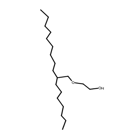 CCCCCCCCCC(CCCCCCC)COCCO